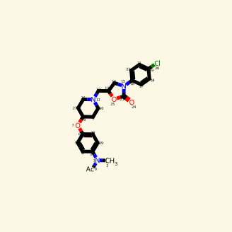 CC(=O)N(C)c1ccc(OC2CCN(CC3CN(c4ccc(Cl)cc4)C(=O)O3)CC2)cc1